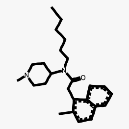 CCCCCCN(C(=O)Cc1c(C)ccc2ccccc12)C1CCN(C)CC1